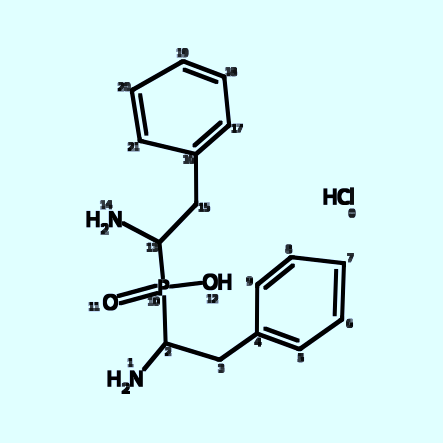 Cl.NC(Cc1ccccc1)P(=O)(O)C(N)Cc1ccccc1